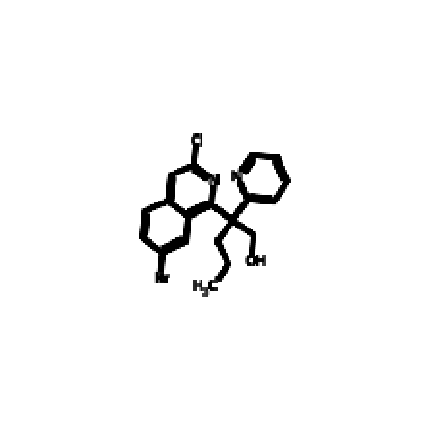 CCCC(CO)(c1ccccn1)c1nc(Cl)cc2ccc(Br)cc12